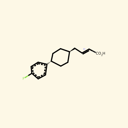 O=C(O)/C=C/C[C@H]1CC[C@H](c2ccc(F)cc2)CC1